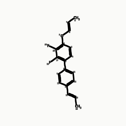 C/C=C/Oc1ccc(-c2ccc(/C=C/C)cc2)c(F)c1F